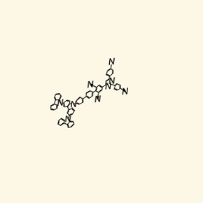 N#Cc1ccc(-c2cc(-c3cc(C#N)c(-c4ccc(-c5ccc(-n6c7ccc(-n8c9ccccc9c9ccccc98)cc7c7cc(-n8c9ccccc9c9ccccc98)ccc76)cc5)cc4)c(C#N)c3)nc(-c3ccc(C#N)cc3)n2)cc1